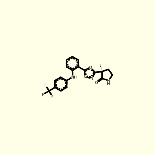 C[C@]1(c2nnc(-c3ccccc3Nc3ccc(C(F)(F)F)cc3)o2)CCNC1=O